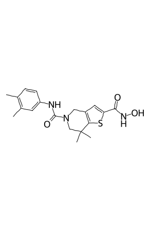 Cc1ccc(NC(=O)N2Cc3cc(C(=O)NO)sc3C(C)(C)C2)cc1C